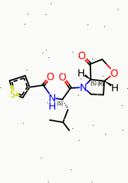 CC(C)C[C@H](NC(=O)c1ccsc1)C(=O)N1CC[C@H]2OCC(=O)[C@H]21